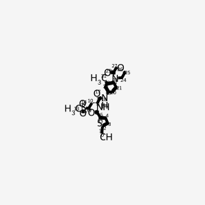 C#Cc1ccc(C(=O)N[C@H](CCS(C)(=O)=O)C(=O)Nc2ccc(N3CCOCC3=O)c(C)c2)s1